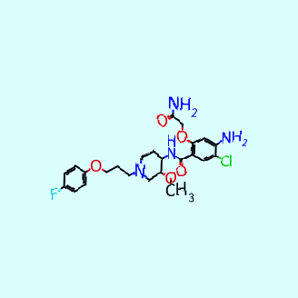 COC1CN(CCCOc2ccc(F)cc2)CCC1NC(=O)c1cc(Cl)c(N)cc1OCC(N)=O